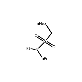 [CH2]CN(CCC)S(=O)(=O)CCCCCCC